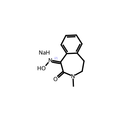 CN1CCc2ccccc2/C(=N/O)C1=O.[NaH]